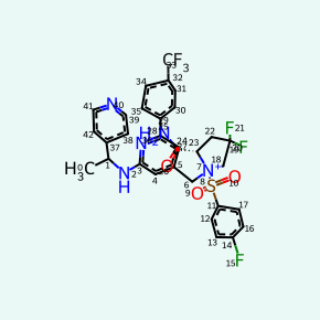 CC(Nc1cc(C[N+]2(S(=O)(=O)c3ccc(F)cc3)CC(F)(F)C[C@H]2C(N)=O)cc(-c2ccc(C(F)(F)F)cc2)n1)c1ccncc1